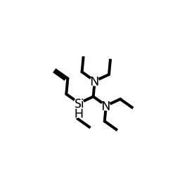 C=CC[SiH](CC)C(N(CC)CC)N(CC)CC